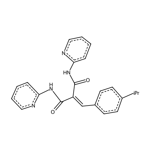 CC(C)c1ccc(C=C(C(=O)Nc2ccccn2)C(=O)Nc2ccccn2)cc1